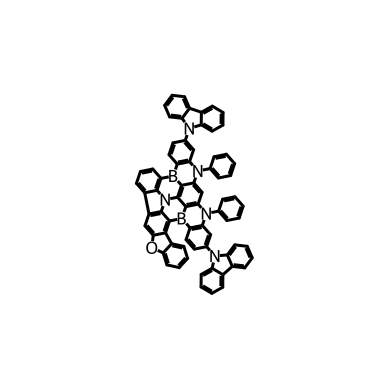 c1ccc(N2c3cc(-n4c5ccccc5c5ccccc54)ccc3B3c4c2cc2c5c4-n4c6c3cccc6c3cc6oc7ccccc7c6c(c34)B5c3ccc(-n4c5ccccc5c5ccccc54)cc3N2c2ccccc2)cc1